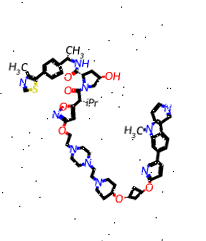 Cc1ncsc1-c1ccc([C@H](C)NC(=O)[C@@H]2C[C@@H](O)CN2C(=O)[C@@H](c2cc(OCCN3CCN(CCN4CCC(O[C@H]5C[C@H](Oc6ccc(-c7ccc8c9cnccc9n(C)c8c7)cn6)C5)CC4)CC3)no2)C(C)C)cc1